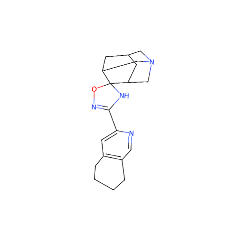 c1nc(C2=NOC3(N2)C2CC4CC3CN(C4)C2)cc2c1CCCC2